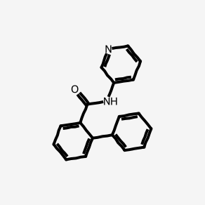 O=C(Nc1cccnc1)c1ccccc1-c1ccccc1